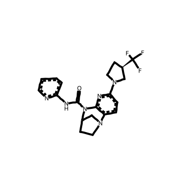 O=C(Nc1ccccn1)N1c2nc(N3CC[C@@H](C(F)(F)F)C3)ccc2N2CCC1C2